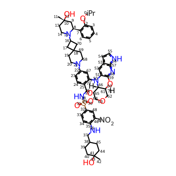 CC(C)Oc1ccccc1[C@@H]1C[C@@](C)(O)CCN1C1CC2(CCN(c3ccc(C(=O)NS(=O)(=O)c4ccc(NCC5CCC(C)(O)CC5)c([N+](=O)[O-])c4)c(N4c5cc6cc[nH]c6nc5O[C@H]5COCC[C@@H]54)c3)CC2)C1